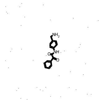 NCc1ccc(NC(=O)C(=O)c2ccccc2)cc1